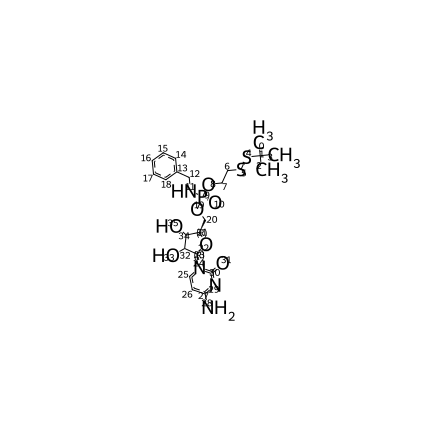 CC(C)(C)SSCCOP(=O)(NCc1ccccc1)OC[C@H]1O[C@@H](n2ccc(N)nc2=O)C(O)C1O